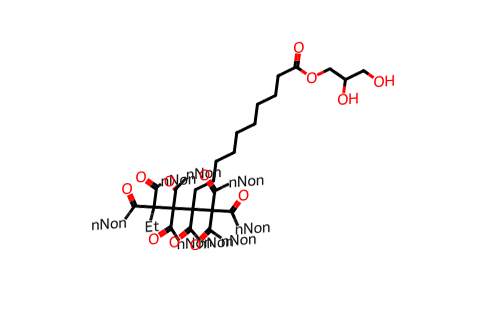 CCCCCCCCCC(=O)C(CC)(C(=O)CCCCCCCCC)C(C(=O)CCCCCCCCC)(C(=O)CCCCCCCCC)C(CCCCCCCCCC(=O)OCC(O)CO)(C(=O)CCCCCCCCC)C(C(=O)CCCCCCCCC)(C(=O)CCCCCCCCC)C(=O)CCCCCCCCC